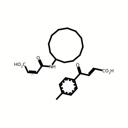 Cc1ccc(C(=O)C=CC(=O)O)cc1.O=C(O)/C=C\C(=O)NC1CCCCCCCCCCC1